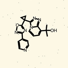 CC(C)(O)c1cccn2c(C3(c4nc(-c5ccncc5)no4)CC3)nnc12